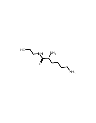 NCCCC[C@H](N)C(=O)NCCO